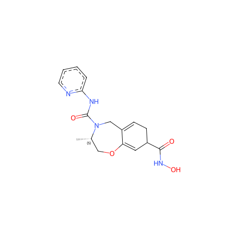 C[C@H]1COC2=CC(C(=O)NO)CC=C2CN1C(=O)Nc1ccccn1